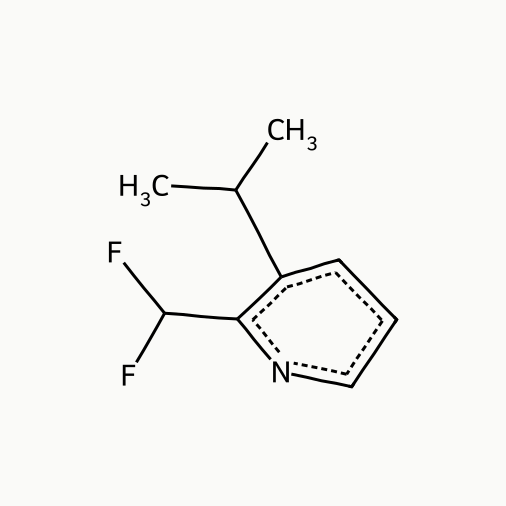 CC(C)c1cccnc1C(F)F